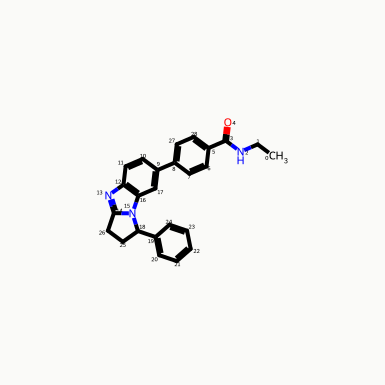 CCNC(=O)c1ccc(-c2ccc3nc4n(c3c2)C(c2ccccc2)CC4)cc1